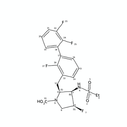 CCS(=O)(=O)N[C@H]1[C@@H](F)CN(C(=O)O)[C@H]1Cc1cccc(-c2cccc(F)c2F)c1F